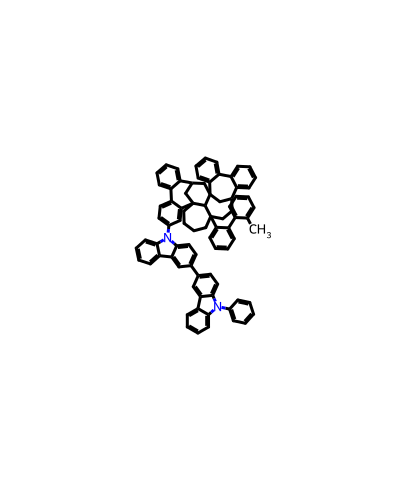 Cc1ccccc1-c1ccccc1C12CCCCC34CC(CC5(CC(CC1)c1ccccc1-c1ccccc15)C23)c1ccccc1-c1ccc(-n2c3ccccc3c3cc(-c5ccc6c(c5)c5ccccc5n6-c5ccccc5)ccc32)cc14